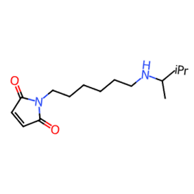 CC(C)C(C)NCCCCCCN1C(=O)C=CC1=O